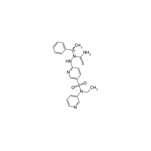 CCN(c1cccnc1)S(=O)(=O)c1ccc(NN(C(N)=S)[C@H](C)c2ccccc2)nc1